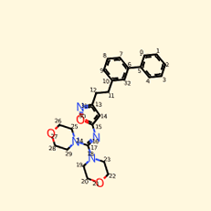 [c]1ccccc1-c1cccc(CCc2cc(N=C(N3CCOCC3)N3CCOCC3)on2)c1